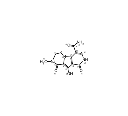 CN1CCn2c(c(O)c3c(=O)[nH]nc(C(N)=O)c32)C1=O